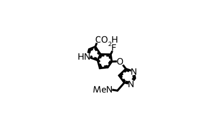 CNCc1cc(Oc2ccc3[nH]cc(C(=O)O)c3c2F)ncn1